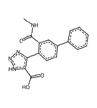 CNC(=O)c1cc(-c2ccccc2)ccc1-c1nn[nH]c1C(=O)O